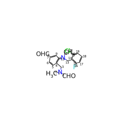 CN(C=O)Cc1ccc(C=O)cc1N(C)Cc1c(F)cccc1Cl